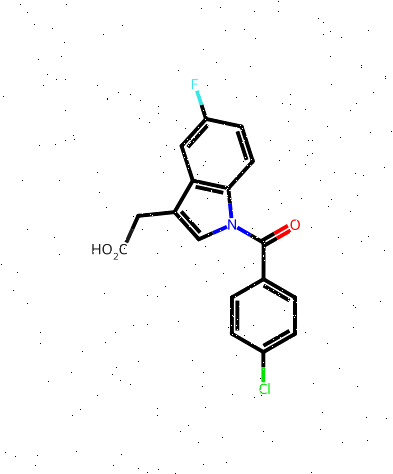 O=C(O)Cc1cn(C(=O)c2ccc(Cl)cc2)c2ccc(F)cc12